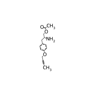 CC#CCOc1ccc(C[C@H](N)COC(C)=O)cc1